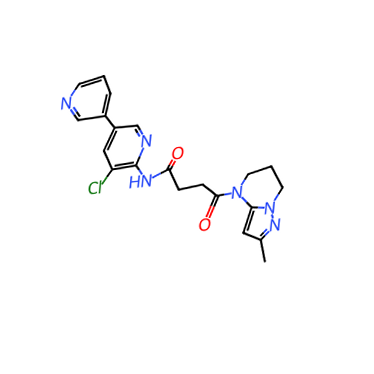 Cc1cc2n(n1)CCCN2C(=O)CCC(=O)Nc1ncc(-c2cccnc2)cc1Cl